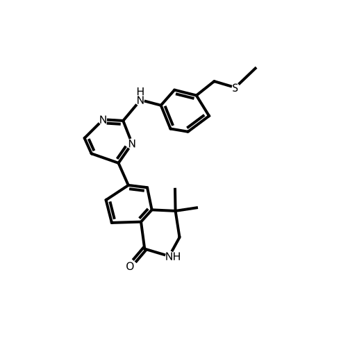 CSCc1cccc(Nc2nccc(-c3ccc4c(c3)C(C)(C)CNC4=O)n2)c1